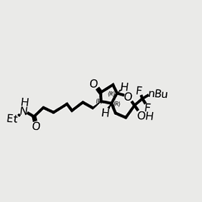 CCCCC(F)(F)C1(O)CC[C@H]2[C@@H](CC(=O)[C@@H]2CCCCCCC(=O)NCC)O1